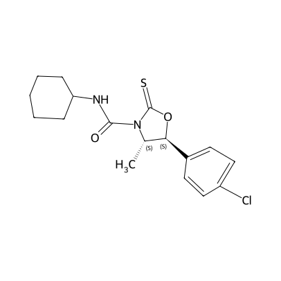 C[C@H]1[C@H](c2ccc(Cl)cc2)OC(=S)N1C(=O)NC1CCCCC1